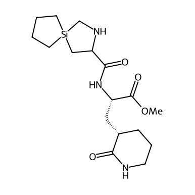 COC(=O)[C@H](C[C@@H]1CCCNC1=O)NC(=O)C1C[Si]2(CCCC2)CN1